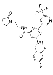 O=C(NCCN1CCCC1=O)c1cc(NCc2ccc(F)cc2F)nc(-c2cncc(C(F)(F)F)c2)n1